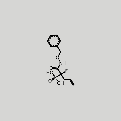 C=CCC(F)(C(=O)NOCc1ccccc1)P(=O)(O)O